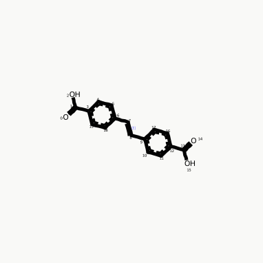 O=C(O)c1ccc(/C=C/c2ccc(C(=O)O)cc2)cc1